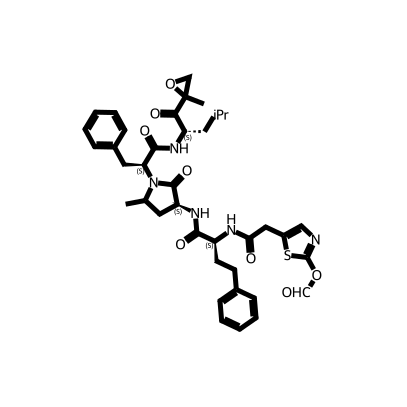 CC(C)C[C@H](NC(=O)[C@H](Cc1ccccc1)N1C(=O)[C@@H](NC(=O)[C@H](CCc2ccccc2)NC(=O)Cc2cnc(OC=O)s2)CC1C)C(=O)C1(C)CO1